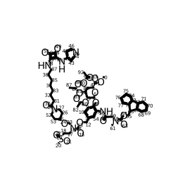 COC(=O)[C@H]1O[C@@H](Oc2ccc(COC(=O)N(CCS(C)(=O)=O)COC3CCN(C(=O)CCCCCCCNc4c(Nc5ccncc5)c(=O)c4=O)CC3)cc2NC(=O)CN(C)C(=O)OCC2c3ccccc3-c3ccccc32)[C@H](OC(C)=O)[C@@H](OC(C)=O)[C@@H]1OC(C)=O